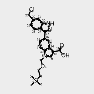 C[Si](C)(C)CCOCn1cc(C(=O)O)c2nc(-c3n[nH]c4cc(CCl)ccc34)cnc21